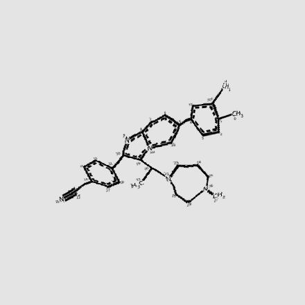 Cc1ccc(-c2ccc3nc(-c4ccc(C#N)cc4)c(C(C)N4CCCN(C)CC4)n3c2)cc1C